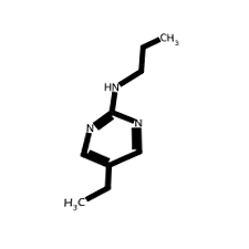 CCCNc1ncc(CC)cn1